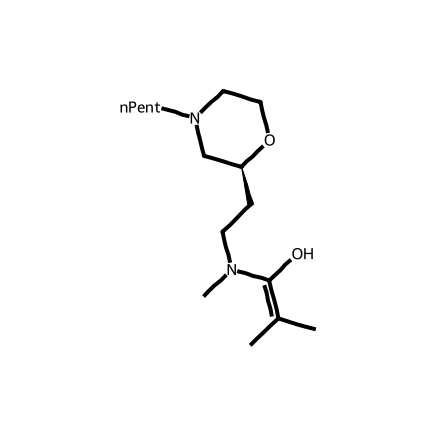 CCCCCN1CCO[C@@H](CCN(C)C(O)=C(C)C)C1